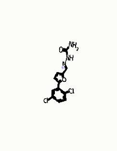 NC(=O)N/N=C/c1ccc(-c2cc(Cl)ccc2Cl)o1